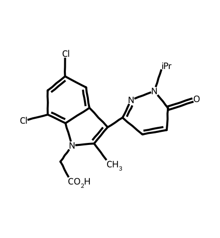 Cc1c(-c2ccc(=O)n(C(C)C)n2)c2cc(Cl)cc(Cl)c2n1CC(=O)O